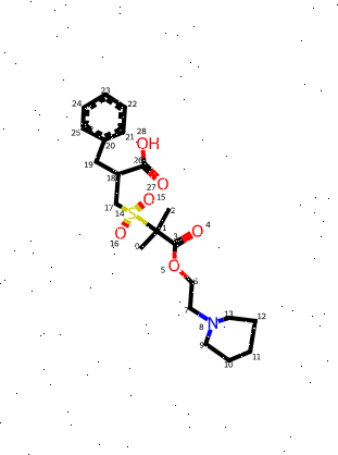 CC(C)(C(=O)OCCN1CCCCC1)S(=O)(=O)CC(Cc1ccccc1)C(=O)O